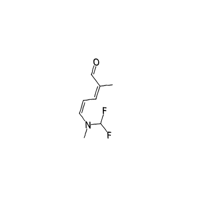 C/C(C=O)=C/C=C\N(C)C(F)F